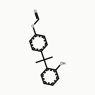 CC(C)(c1ccc(OC=O)cc1)c1ccccc1O